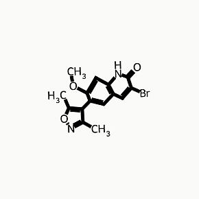 COc1cc2[nH]c(=O)c(Br)cc2cc1-c1c(C)noc1C